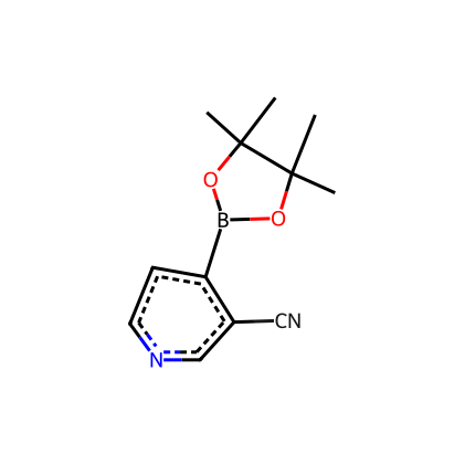 CC1(C)OB(c2ccncc2C#N)OC1(C)C